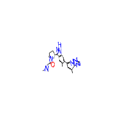 Cc1cc2c(C3CCCN(C(=O)CN(C)C)C3)n[nH]c2cc1-c1cc(C)c2ncnn2c1